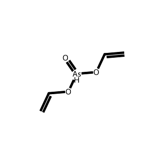 C=CO[AsH](=O)OC=C